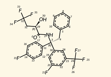 O=C(N[C@](Cc1ccccc1)(c1ccc(F)cc1)c1cc(F)cc(C(F)(F)F)c1)[C@H](O)CC(F)(F)F